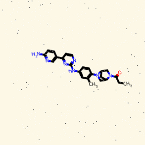 CCC(=O)N1CC2CC1CN2c1ccc(Nc2nccc(-c3ccc(N)nc3)n2)cc1C